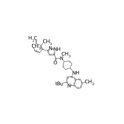 C=C/C(C)=C(\C=C/C)c1cc(C(=O)N(C)C2CCC(Nc3cc(C(C)(C)C)nc4ccc(C)cc34)CC2)[nH]n1